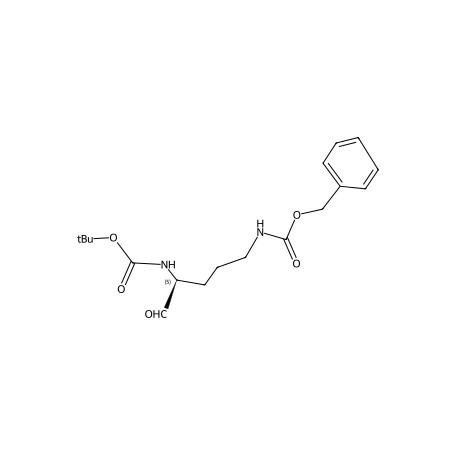 CC(C)(C)OC(=O)N[C@H](C=O)CCCNC(=O)OCc1ccccc1